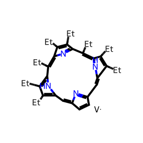 CCC1=C(CC)c2nc1c(CC)c1[nH]c(cc3nc(cc4[nH]c(c2CC)c(CC)c4CC)C=C3)c(CC)c1CC.[V]